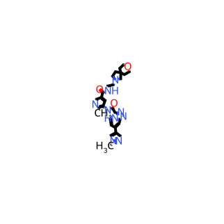 Cc1ncc(C(=O)NCCN2CCC3(CCOCC3)C2)cc1NC(=O)c1nnc2cc(-c3cnn(C)c3)ccn12